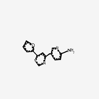 Nc1ccc(-c2cc(-c3ccco3)ncn2)cn1